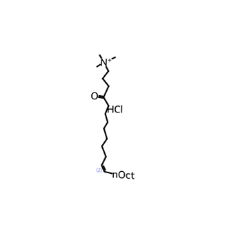 CCCCCCCC/C=C\CCCCCCCC(=O)CCC[N+](C)(C)C.Cl